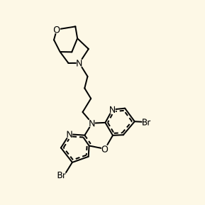 Brc1cnc2c(c1)Oc1cc(Br)cnc1N2CCCCN1CC2COCC(C2)C1